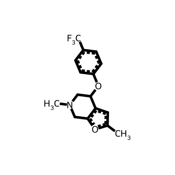 Cc1cc2c(o1)CN(C)CC2Oc1ccc(C(F)(F)F)cc1